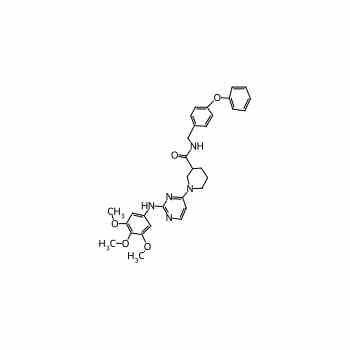 COc1cc(Nc2nccc(N3CCCC(C(=O)NCc4ccc(Oc5ccccc5)cc4)C3)n2)cc(OC)c1OC